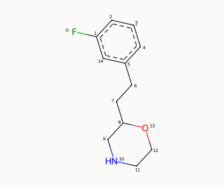 Fc1c[c]cc(CCC2CNCCO2)c1